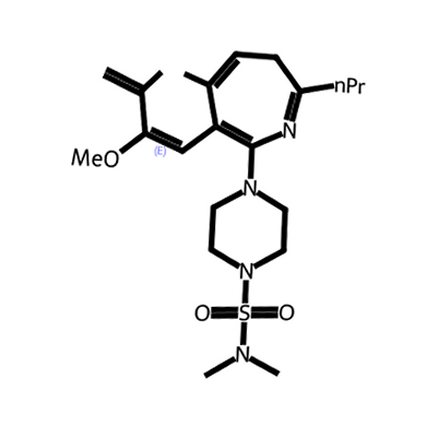 C=C(C)/C(=C\C1=C(N2CCN(S(=O)(=O)N(C)C)CC2)N=C(CCC)CC=C1C)OC